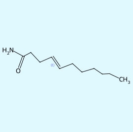 CCCCCC/C=C/CCC(N)=O